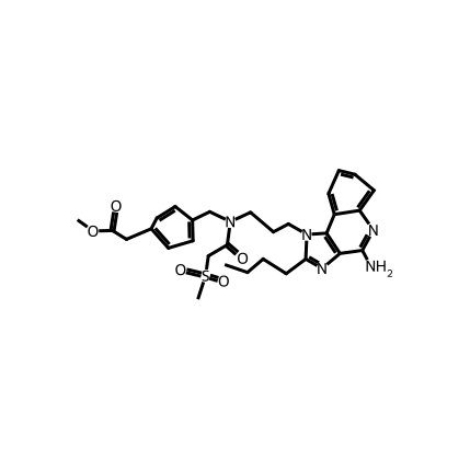 CCCCc1nc2c(N)nc3ccccc3c2n1CCCN(Cc1ccc(CC(=O)OC)cc1)C(=O)CS(C)(=O)=O